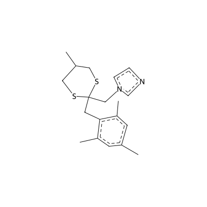 Cc1cc(C)c(CC2(Cn3ccnc3)SCC(C)CS2)c(C)c1